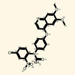 COc1cc2nccc(Oc3ccc(N(C(N)=O)c4ccc(Cl)cc4[N+](=O)[O-])cc3)c2cc1OC